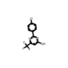 Oc1cc(C(F)(F)F)nc(-c2ccc(Cl)cc2)n1